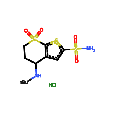 CCCCNC1CCS(=O)(=O)c2sc(S(N)(=O)=O)cc21.Cl